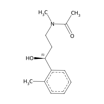 CC(=O)N(C)CC[C@H](O)c1ccccc1C